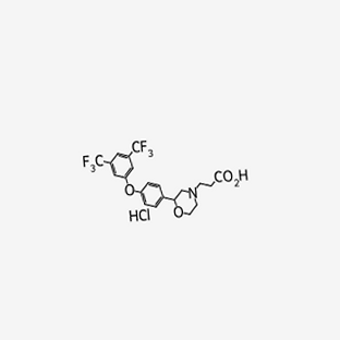 Cl.O=C(O)CCN1CCOC(c2ccc(Oc3cc(C(F)(F)F)cc(C(F)(F)F)c3)cc2)C1